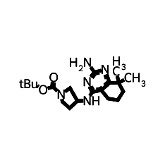 CC(C)(C)OC(=O)N1CCC(Nc2nc(N)nc3c2CCCC3(C)C)C1